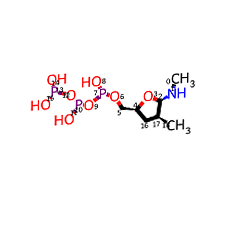 CN[C@@H]1O[C@H](COP(O)OP(O)OP(O)O)C[C@@H]1C